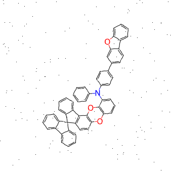 c1ccc(N(c2ccc(-c3ccc4c(c3)oc3ccccc34)cc2)c2cccc3c2Oc2c(ccc4c2-c2ccccc2C42c4ccccc4-c4ccccc42)O3)cc1